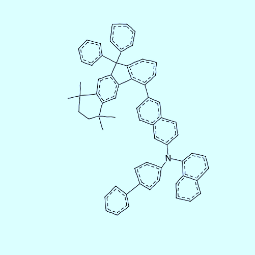 CC1(C)CCC(C)(C)c2cc3c(cc21)-c1c(-c2ccc4cc(N(c5ccc(-c6ccccc6)cc5)c5cccc6ccccc56)ccc4c2)cccc1C3(c1ccccc1)c1ccccc1